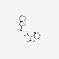 O=C1Cc2cccnc2N1C1CC(Nc2nc3ccccc3s2)C1